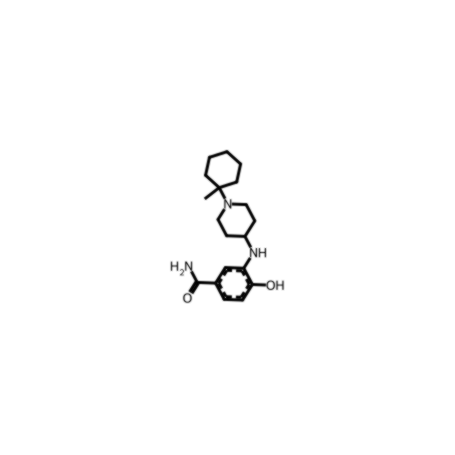 CC1(N2CCC(Nc3cc(C(N)=O)ccc3O)CC2)CCCCC1